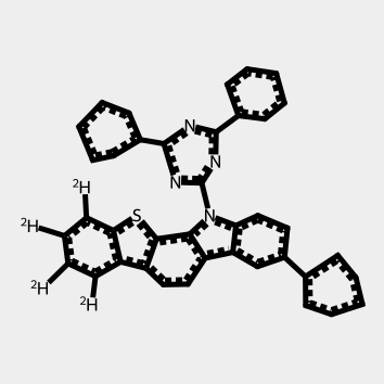 [2H]c1c([2H])c([2H])c2c(sc3c2ccc2c4cc(-c5ccccc5)ccc4n(-c4nc(-c5ccccc5)nc(-c5ccccc5)n4)c23)c1[2H]